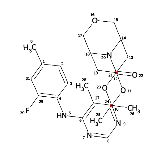 Cc1ccc(Nc2ncnc(OC3CC4COCC(C3)N4C(=O)OC(C)C)c2C)c(F)c1